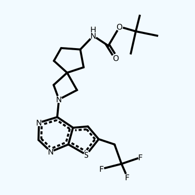 CC(C)(C)OC(=O)NC1CCC2(C1)CN(c1ncnc3sc(CC(F)(F)F)cc13)C2